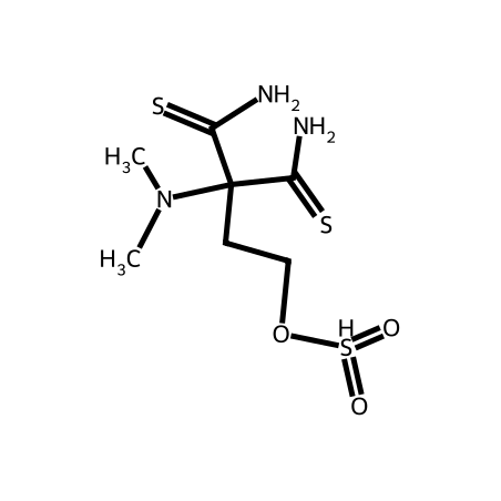 CN(C)C(CCO[SH](=O)=O)(C(N)=S)C(N)=S